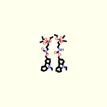 CCO[Si](CCCN(C=O)OCc1ccc2c(c1)c1ccccc1n2CC)(OCC)OCC.CCO[Si](CCCNC(=O)OCc1ccc2c(c1)c1ccccc1n2CC)(OCC)OCC